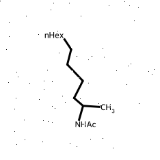 CCCCCCCCCCC(C)NC(C)=O